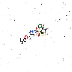 COCCCNS(=O)(=O)c1sccc1Cl